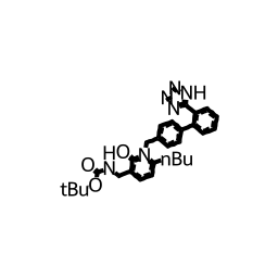 CCCCc1ccc(CNC(=O)OC(C)(C)C)c(=O)n1Cc1ccc(-c2ccccc2-c2nnn[nH]2)cc1